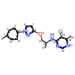 Cc1ccc(-n2ccc(OCC(C)Nc3ncnc(C)c3Cl)n2)cc1